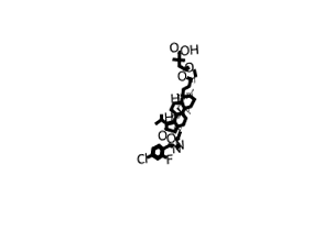 CC[C@H](CC[C@@]1(C)[C@H](C)CC[C@]2(C)[C@@H]1CC[C@@H]1C3=C(C(C)C)C(=O)C[C@]3(Cc3nnc(-c4ccc(Cl)cc4F)o3)CC[C@]12C)OC(=O)CC(C)(C)C(=O)O